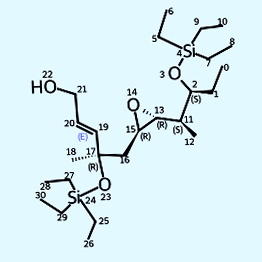 CC[C@H](O[Si](CC)(CC)CC)[C@@H](C)[C@H]1O[C@@H]1C[C@](C)(/C=C/CO)O[Si](CC)(CC)CC